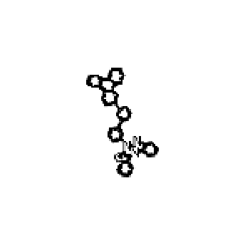 c1cc(-c2cccc(-n3c4oc5ccccc5c4n4c5ccccc5nc34)c2)cc(-c2ccc3c4ccccc4c4ccccc4c3c2)c1